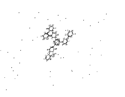 CC1(C)c2ccccc2-c2ccc(-c3nc(-c4cccc(-c5ccccc5)c4)nc(-c4ccc5c6ccccc6c6ccccc6c5c4)n3)cc21